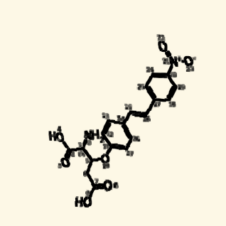 N[C@H](C(=O)O)C(CC(=O)O)Oc1ccc(C=Cc2ccc([N+](=O)[O-])cc2)cc1